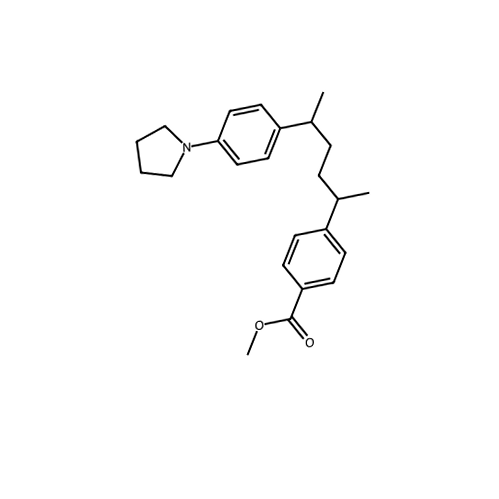 COC(=O)c1ccc(C(C)CCC(C)c2ccc(N3CCCC3)cc2)cc1